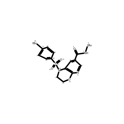 CC(C)(C)NC(=O)c1cnc2c(c1)N(S(=O)(=O)c1ccc(C(C)(C)C)cc1)CCO2